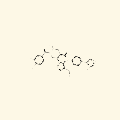 Cc1cc(C(=O)N2Cc3c(c(=O)n(-c4ccc(-c5cncn5C)cc4)c4c(CC(C)C)cnn34)CC2C)ccc1Br